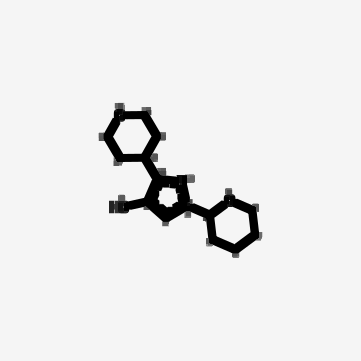 Oc1cn(C2CCCCO2)nc1C1CCOCC1